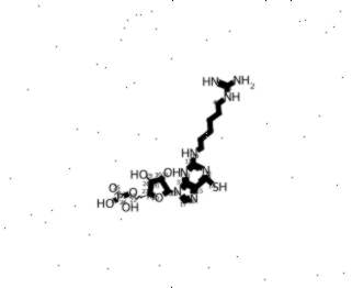 N=C(N)NCCCCCCNc1nc(S)c2ncn([C@@H]3O[C@H](COP(=O)(O)O)[C@H](O)C3O)c2n1